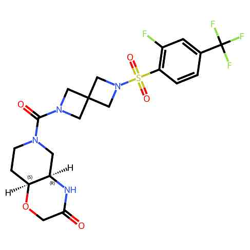 O=C1CO[C@H]2CCN(C(=O)N3CC4(C3)CN(S(=O)(=O)c3ccc(C(F)(F)F)cc3F)C4)C[C@H]2N1